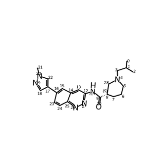 CC(C)CN1CCC[C@H](C(=O)Nc2cc3cc(-c4cnn(C)c4)ccc3nn2)C1